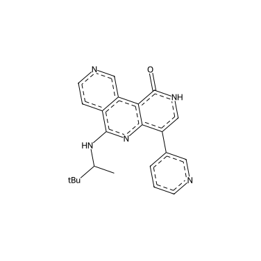 CC(Nc1nc2c(-c3cccnc3)c[nH]c(=O)c2c2cnccc12)C(C)(C)C